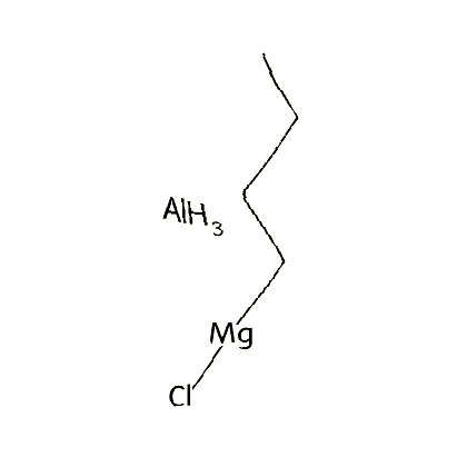 CCC[CH2][Mg][Cl].[AlH3]